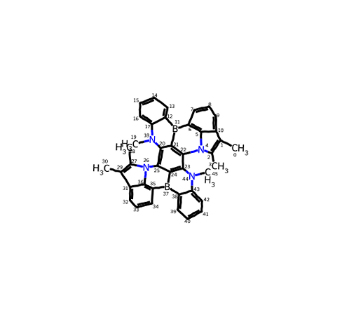 Cc1c(C)n2c3c(cccc13)B1c3ccccc3N(C)c3c1c-2c1c2c3-n3c(C)c(C)c4cccc(c43)B2c2ccccc2N1C